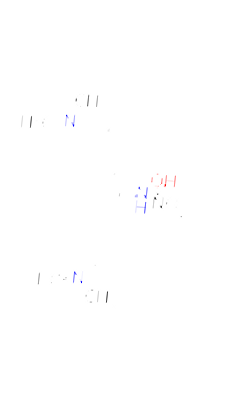 CN(C)c1ccc(C(=N)c2ccc(N(C)C)cc2)cc1.O=[N+]([O-])O